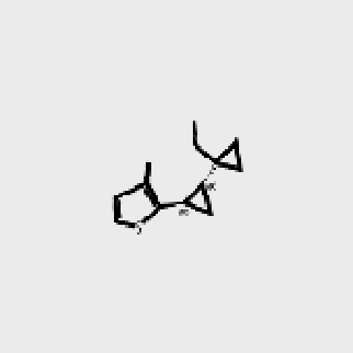 CCC1([C@@H]2C[C@H]2c2sccc2C)CC1